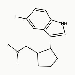 CN(C)CC1CCCC1c1c[nH]c2ccc(I)cc12